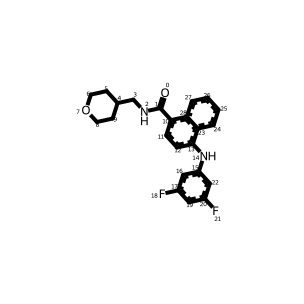 O=C(NCC1CCOCC1)c1ccc(Nc2cc(F)cc(F)c2)c2ccccc12